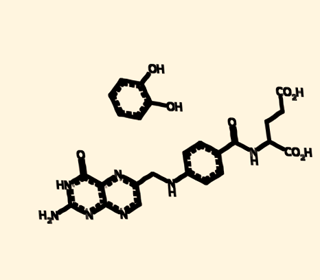 Nc1nc2ncc(CNc3ccc(C(=O)NC(CCC(=O)O)C(=O)O)cc3)nc2c(=O)[nH]1.Oc1ccccc1O